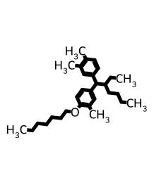 CCCCCCCOc1ccc(C(c2ccc(C)c(C)c2)C(CC)CCCC)cc1C